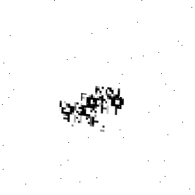 COc1ccc(F)cc1C(=O)NCc1cc(F)c(-c2nn(C3CCCOC3)c(N)c2C(N)=O)cc1F